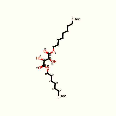 CCCCCCCCCCCCCCCCCCOC(=O)C(O)C(O)C(=O)OCCCCCCCCCCCCCCCC